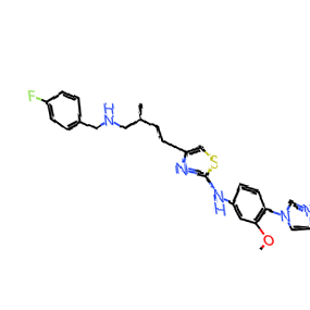 COc1cc(Nc2nc(CC[C@H](C)CNCc3ccc(F)cc3)cs2)ccc1-n1cnc(C)c1